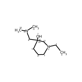 CCN1CCC[C@](O)(CN(C)C)C1